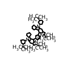 CC(C)(C)c1cccc(-n2c3ccccc3c3c4c5cc6c7c8c9ccccc9n(-c9cccc(C(C)(C)C)c9)c8cc8cc(C(C)(C)C)n(c6cc5n5c(C(C)(C)C)cc(cc32)c45)c87)c1